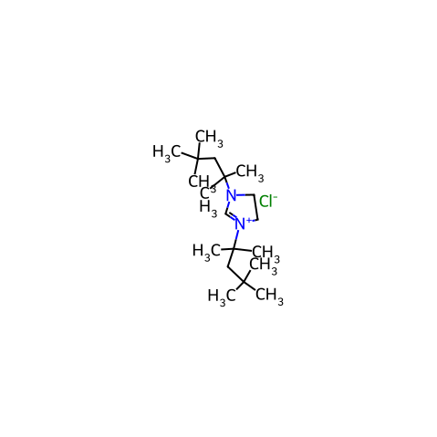 CC(C)(C)CC(C)(C)N1C=[N+](C(C)(C)CC(C)(C)C)CC1.[Cl-]